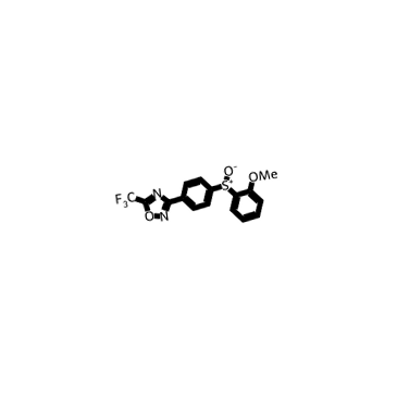 COc1ccccc1[S+]([O-])c1ccc(-c2noc(C(F)(F)F)n2)cc1